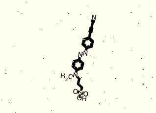 CN(CCCS(=O)(=O)O)c1ccc(/N=N/c2ccc(C#CC#N)cc2)cc1